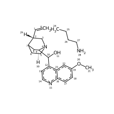 C=C[C@@H]1CN2CCC1C[C@@H]2C(O)c1ccnc2ccc(OC)cc12.CCCCN